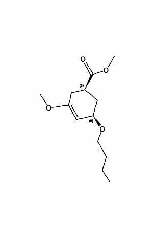 CCCCO[C@H]1C=C(OC)C[C@@H](C(=O)OC)C1